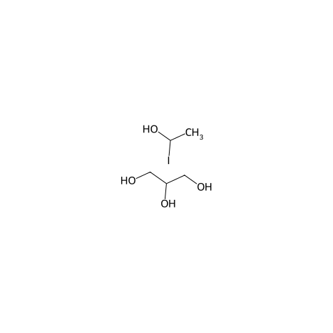 CC(O)I.OCC(O)CO